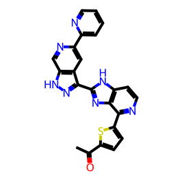 CC(=O)c1ccc(-c2nccc3[nH]c(-c4n[nH]c5cnc(-c6ccccn6)cc45)nc23)s1